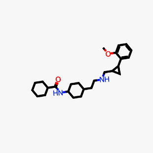 COc1ccccc1C1CC1CNCCC1CCC(NC(=O)C2CCCCC2)CC1